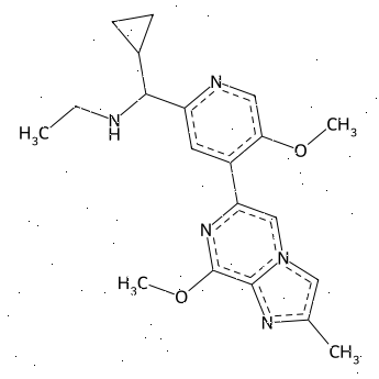 CCNC(c1cc(-c2cn3cc(C)nc3c(OC)n2)c(OC)cn1)C1CC1